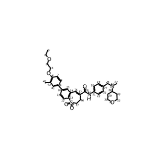 CCOCCOc1ccc(-c2ccc3c(c2)C=C(C(=O)Nc2ccc(CN(C)C4CCOCC4)cc2)CCS3(=O)=O)cc1C